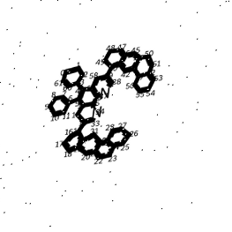 C1=CCC(C2=C(C3=CCCC=C3)C3CC(c4cccc5cc6ccc7ccccc7c6cc45)=CN=C3c3ncc(C4=c5cc6c(cc5=CCC4)C=CC4=CC=CCC46)cc32)C=C1